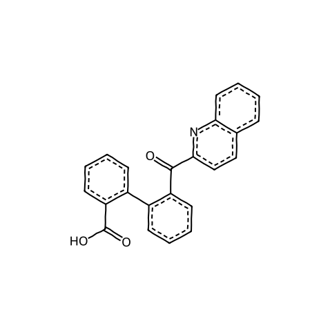 O=C(O)c1ccccc1-c1ccccc1C(=O)c1ccc2ccccc2n1